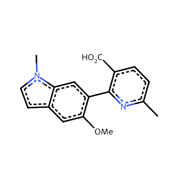 COc1cc2ccn(C)c2cc1-c1nc(C)ccc1C(=O)O